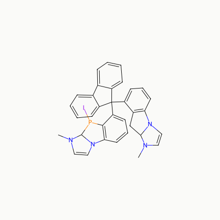 CN1C=CN2c3cccc(C4(c5cccc6c5P(I)C5N(C)C=CN65)c5ccccc5-c5ccccc54)c3CC12